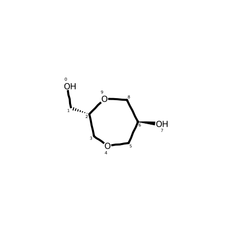 OC[C@H]1COC[C@H](O)CO1